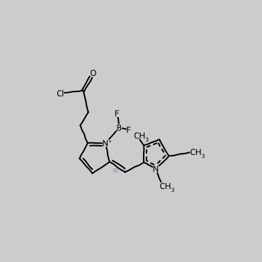 Cc1cc(C)n(C)c1/C=C1/C=CC(CCC(=O)Cl)=[N+]1B(F)F